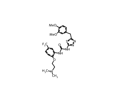 COc1ccc(Cc2nnc(NC(=O)Nc3cc(C(F)(F)F)ccc3OCCN(C)C)s2)cc1OC